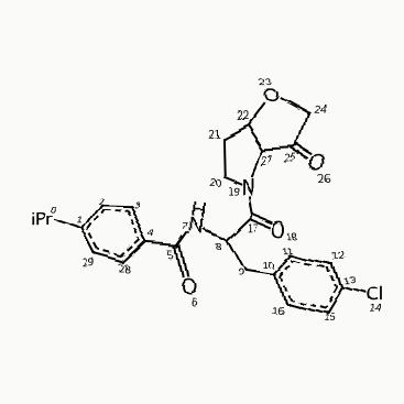 CC(C)c1ccc(C(=O)NC(Cc2ccc(Cl)cc2)C(=O)N2CCC3OCC(=O)C32)cc1